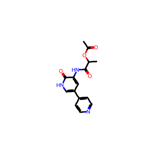 CC(=O)OC(C)C(=O)Nc1cc(-c2ccncc2)c[nH]c1=O